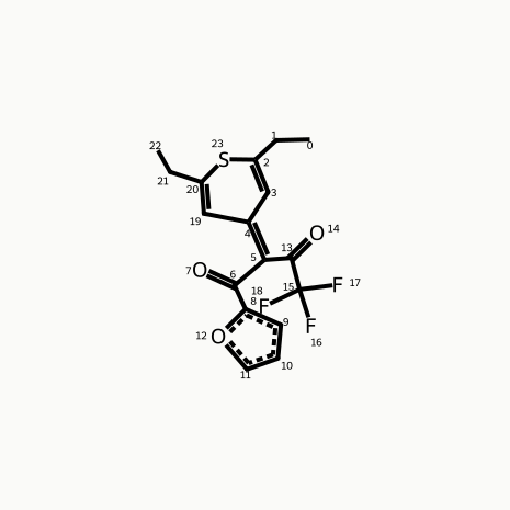 CCC1=CC(=C(C(=O)c2ccco2)C(=O)C(F)(F)F)C=C(CC)S1